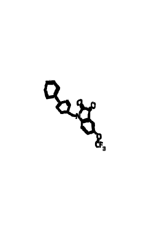 O=C1C(=O)N(Cc2ccc(-c3ccccc3)cc2)c2ccc(OC(F)(F)F)cc21